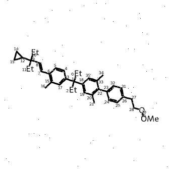 CCC(CC)(c1ccc(/C=C/C(CC)(CC)C2CC2)c(C)c1)c1cc(C)c(-c2ccc(CCOOC)cc2)c(C)c1